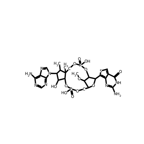 COC1C2COP(=O)(O)OC3C(O)C(n4cnc5c(N)ncnc54)C(C)C3(C)COP(=O)(O)OC1C(c1scc3c(=O)[nH]c(N)nc13)O2